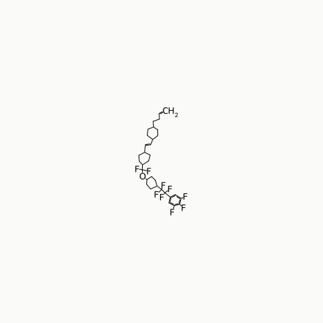 C=CCCC1CCC(/C=C/C2CCC(C(F)(F)OC3CCC(C(F)(F)C(F)(F)c4cc(F)c(F)c(F)c4)CC3)CC2)CC1